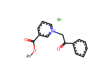 CC(C)OC(=O)c1ccc[n+](CC(=O)c2ccccc2)c1.[Br-]